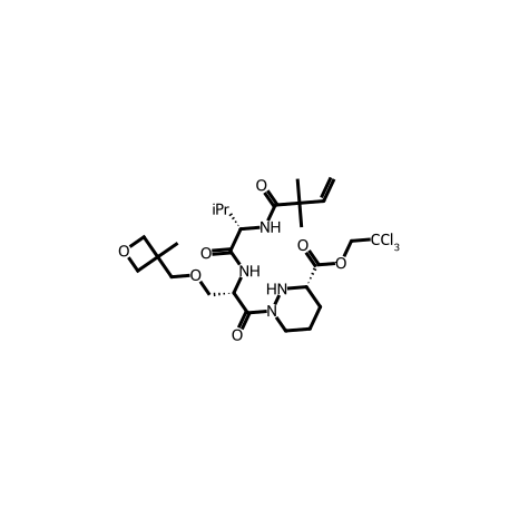 C=CC(C)(C)C(=O)N[C@H](C(=O)N[C@@H](COCC1(C)COC1)C(=O)N1CCC[C@@H](C(=O)OCC(Cl)(Cl)Cl)N1)C(C)C